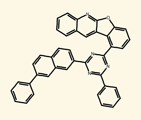 c1ccc(-c2ccc3ccc(-c4nc(-c5ccccc5)nc(-c5cccc6oc7nc8ccccc8cc7c56)n4)cc3c2)cc1